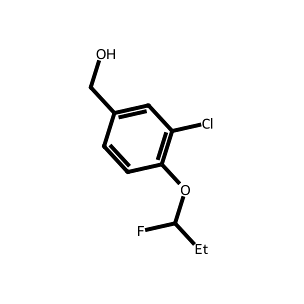 CCC(F)Oc1ccc(CO)cc1Cl